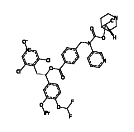 CC(C)Oc1cc([C@H](Cc2c(Cl)c[n+]([O-])cc2Cl)OC(=O)c2ccc(CN(C(=O)O[C@H]3CN4CCC3CC4)c3cccnc3)cc2)ccc1OC(F)F